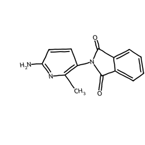 Cc1nc(N)ccc1N1C(=O)c2ccccc2C1=O